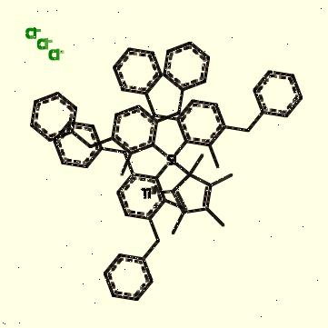 CC1=C(C)C(C)([Si](c2c(Cc3ccccc3)ccc(Cc3ccccc3)c2C)(c2c(Cc3ccccc3)ccc(Cc3ccccc3)c2C)c2c(Cc3ccccc3)ccc(Cc3ccccc3)c2C)[C]([Ti+3])=C1C.[Cl-].[Cl-].[Cl-]